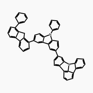 c1ccc(-c2cccc3c2Cc2c(-c4ccc5c(c4)c4cc(-c6ccc7c8cccc9c%10ccccc%10n(c7c6)c98)ccc4n5-c4ccccc4)cccc2-3)cc1